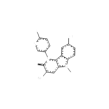 Cn1c2ccc(O)cc2c2c1cc(C#N)c(=O)n2-c1ccc(Cl)nc1